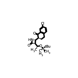 C[C@@H](O[Si](C)(C)C(C)(C)C)[C@H]1C(=O)N[C@@H]1[C@@H]1CCc2ccc(Cl)cc2C1=O